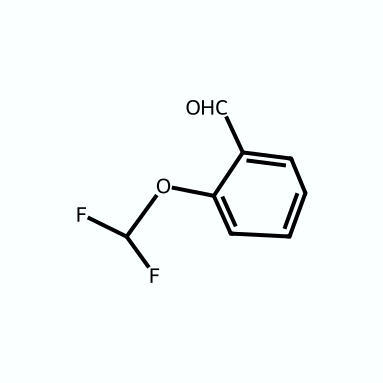 O=Cc1ccccc1OC(F)F